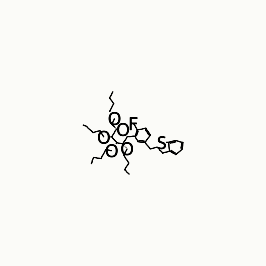 CCCCOC[C@H]1OC(c2cc(CC3Cc4ccccc4S3)ccc2F)[C@H](OCCCC)C(OCCCC)[C@@H]1OCCCC